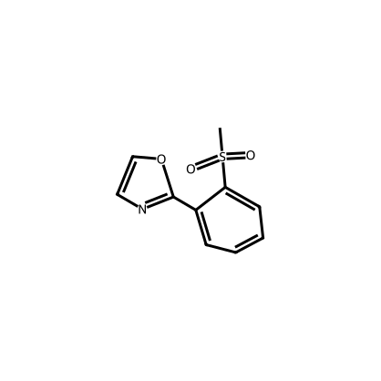 CS(=O)(=O)c1ccccc1-c1ncco1